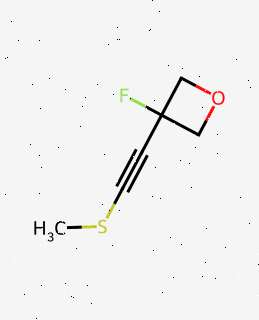 CSC#CC1(F)COC1